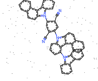 N#Cc1cc(-n2c3cccc(-n4c5ccccc5c5ccccc54)c3c3c4ccccc4ccc32)c(C#N)cc1-n1c2ccccc2c2c3ccccc3ccc21